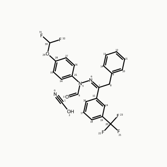 N#CO.O=CN(N=C(Cc1ccccc1)c1cccc(C(F)(F)F)c1)c1ccc(OC(F)F)cc1